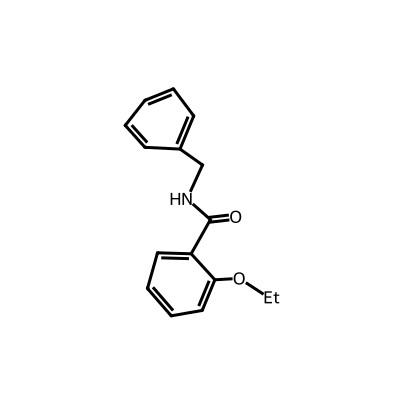 CCOc1ccccc1C(=O)NCc1ccccc1